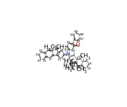 C=C/C(=C\C1=C(C)c2ccccc2C(C)(C)C1(C)C)N(c1ccc2c(c1)C(C)(C)c1cc3ccccc3cc1-2)c1ccc2c(c1)oc1ccccc12